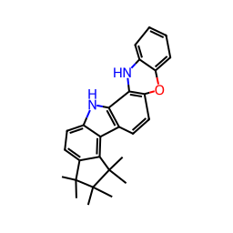 CC1(C)c2ccc3[nH]c4c5c(ccc4c3c2C(C)(C)C1(C)C)Oc1ccccc1N5